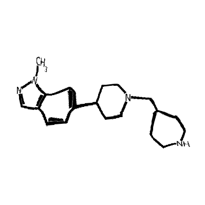 Cn1ncc2ccc(C3CCN(CC4CCNCC4)CC3)cc21